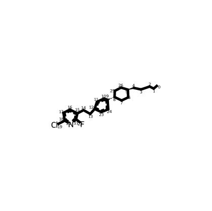 CCCCC[C@H]1CC[C@H](c2ccc(CCc3ccc(Cl)nc3F)cc2)CC1